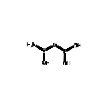 NP(O)OP(O)O